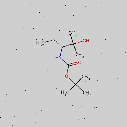 CC[C@@H](NC(=O)OC(C)(C)C)C(C)(C)O